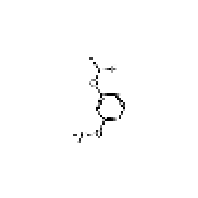 FC(F)Oc1[c]ccc(OC(F)(F)F)c1